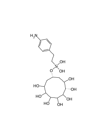 Nc1ccc(CC[Si](O)(O)O[C@H]2CC(O)C(O)C(O)C(O)C(O)[C@@H](O)C(O)C2)cc1